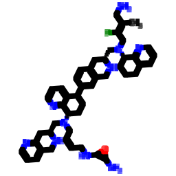 C/C(CN)=C(/F)CN(C[C@H]1Cc2ccc(C3CC[C@H](N(C/C=C\CNC4OC4N)C[C@@H]4Cc5ncccc5CN4)c4ncccc43)cc2CN1)[C@H]1CCCc2cccnc21